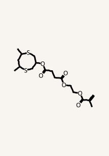 C=C(C)C(=O)OCCOC(=O)CCC(=O)OC1CSC(C)CC(C)SC1